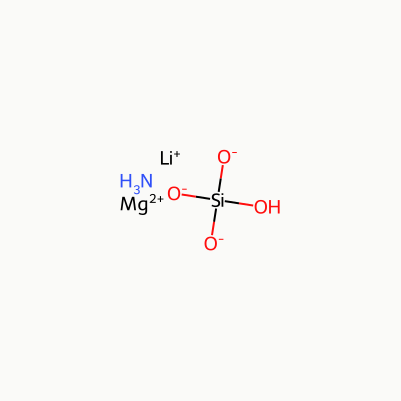 N.[Li+].[Mg+2].[O-][Si]([O-])([O-])O